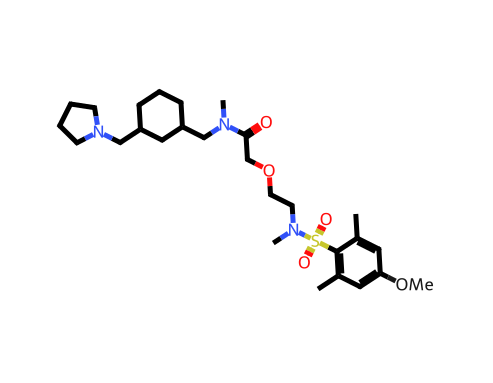 COc1cc(C)c(S(=O)(=O)N(C)CCOCC(=O)N(C)CC2CCCC(CN3CCCC3)C2)c(C)c1